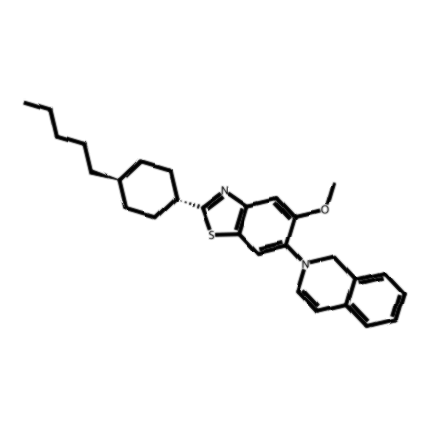 CCCCC[C@H]1CC[C@H](c2nc3cc(OC)c(N4C=Cc5ccccc5C4)cc3s2)CC1